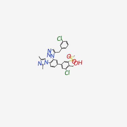 Cc1cn(-c2ccc(-c3cc(Cl)c(CO)c(S(C)(=O)=O)c3)cc2-n2nncc2Cc2cccc(Cl)c2)c(C)n1